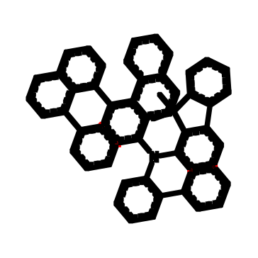 CC1(C)c2ccccc2-c2cccc(N(c3ccccc3-c3ccccc3)c3ccc(-c4cccc5cccc(-c6ccccc6)c45)c4c3ccc3ccccc34)c21